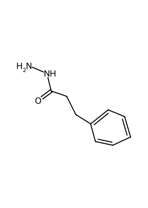 NNC(=O)CCc1ccccc1